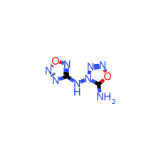 NC1ON=NN1Nc1nnon1